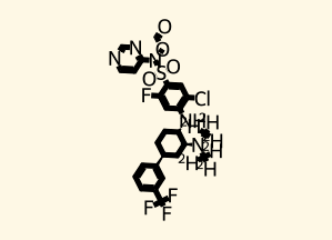 [2H]C([2H])([2H])N([C@H]1C[C@@H](c2cccc(C(F)(F)F)c2)CC[C@@H]1Nc1cc(F)c(S(=O)(=O)N(OC=O)c2ccncn2)cc1Cl)C([2H])([2H])[2H]